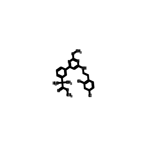 COC(=O)C(C)(C)c1cccc(-c2cc(NCCC3=C(Cl)CC(Cl)C=C3)nc(OC)n2)c1